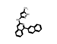 Cc1cc(Nc2cc3ccccc3c(-c3ccc4ccccc4c3)n2)n[nH]1